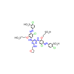 O=S(=O)(O)CCCOc1cc(N=Nc2ccc(Cl)c(S(=O)(=O)O)c2)c(Cl)cc1Nc1nc(NCC2CCCO2)nc(Nc2cc(Cl)c(N=Nc3ccc(Cl)c(S(=O)(=O)O)c3)cc2OCCCS(=O)(=O)O)n1